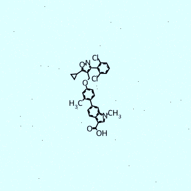 Cc1cc(OCc2c(-c3c(Cl)cccc3Cl)noc2C2CC2)ccc1-c1ccc2c(C(=O)O)cn(C)c2c1